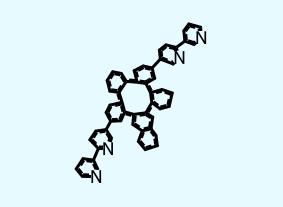 c1cncc(-c2ccc(-c3ccc4c5ccccc5c5ccc(-c6ccc(-c7cccnc7)nc6)cc5c5cc6ccccc6cc5c5ccccc5c4c3)cn2)c1